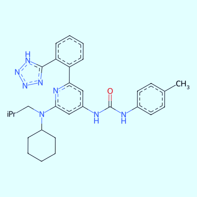 Cc1ccc(NC(=O)Nc2cc(-c3ccccc3-c3nnn[nH]3)nc(N(CC(C)C)C3CCCCC3)c2)cc1